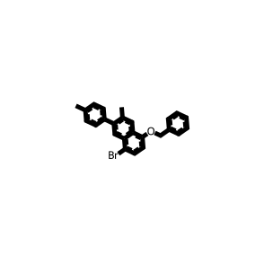 Cc1ccc(-c2cc3c(Br)ccc(OCc4ccccc4)c3cc2C)cc1